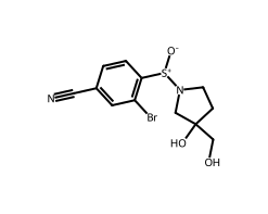 N#Cc1ccc([S+]([O-])N2CCC(O)(CO)C2)c(Br)c1